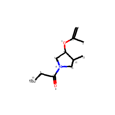 C=C(C)OC1CN(C(=O)CC(C)(C)C)CC1C